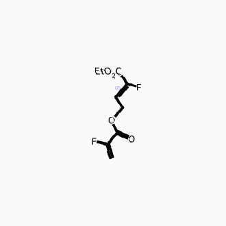 C=C(F)C(=O)OC/C=C(\F)C(=O)OCC